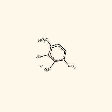 O=C(O)c1ccc([N+](=O)[O-])c([N+](=O)[O-])c1O.[K+]